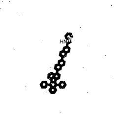 C1=CCCC(C2=c3ccccc3=C(C3=CC=CCC3)C3c4ccc(C5=CC=C6C=C(C7=CC=C8C=C(C9=CN%10C=CC=CC%10N9)CCC8C7)CCC6C5)c5cccc(c45)C23)=C1